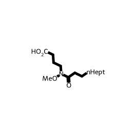 CCCCCCCCCC(=O)N(CCCC(=O)O)OC